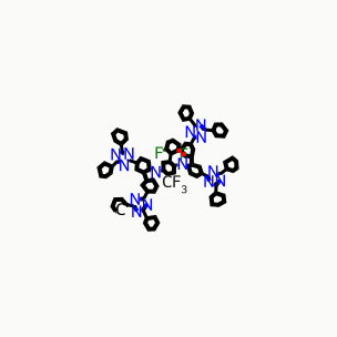 Fc1cccc(F)c1-c1cc(-n2c3ccc(-c4nc(-c5ccccc5)nc(-c5ccccc5)n4)cc3c3cc(-c4nc(-c5ccccc5)nc(-c5ccccc5)n4)ccc32)c(C(F)(F)F)cc1-n1c2ccc(-c3nc(-c4ccccc4)nc(-c4ccccc4)n3)cc2c2cc(-c3nc(-c4ccccc4)nc(-c4ccccc4)n3)ccc21